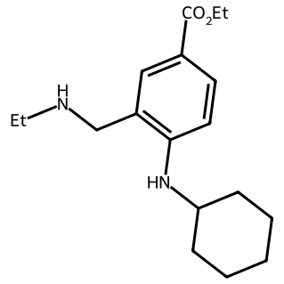 CCNCc1cc(C(=O)OCC)ccc1NC1CCCCC1